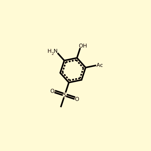 CC(=O)c1cc(S(C)(=O)=O)cc(N)c1O